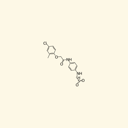 Cc1cc(Cl)ccc1OCC(=O)Nc1ccc(NC[SH](=O)=O)cc1